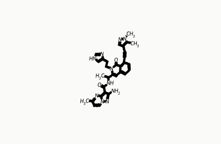 Cc1ccn2nc(N)c(C(=O)NC(C)c3cc4cccc(C#Cc5cnn(C)c5C)c4c(=O)n3CCc3c[nH]cn3)c2n1